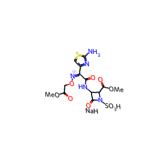 COC(=O)CO/N=C(\C(=O)NC1C(=O)N(S(=O)(=O)O)C1C(=O)OC)c1csc(N)n1.[NaH]